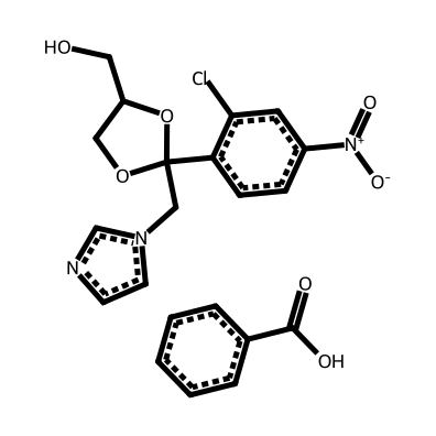 O=C(O)c1ccccc1.O=[N+]([O-])c1ccc(C2(Cn3ccnc3)OCC(CO)O2)c(Cl)c1